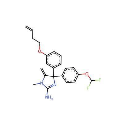 C=CCCOc1cccc(C2(c3ccc(OC(F)F)cc3)N=C(N)N(C)C2=C)c1